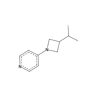 CC(C)C1CN(c2ccncc2)C1